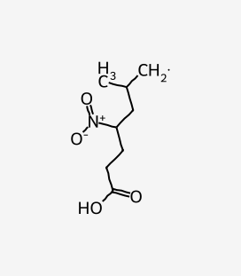 [CH2]C(C)CC(CCC(=O)O)[N+](=O)[O-]